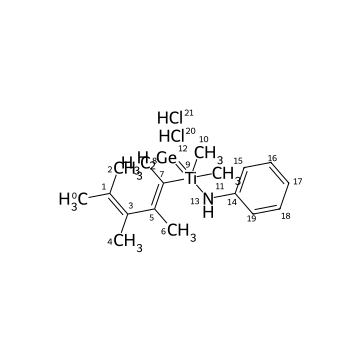 CC(C)=C(C)C(C)=[C](C)[Ti]([CH3])([CH3])(=[GeH2])[NH]c1ccccc1.Cl.Cl